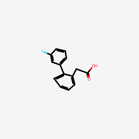 O=C(O)Cc1ccccc1-c1cccc(F)c1